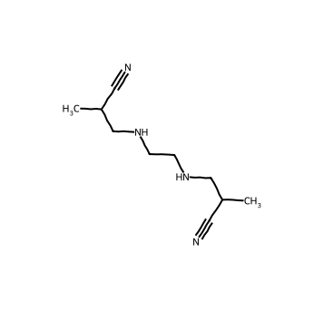 CC(C#N)CNCCNCC(C)C#N